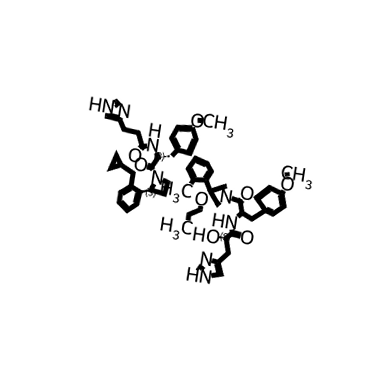 CCCOC1(c2ccccc2C)CN(C(=O)C(Cc2ccc(OC)cc2)NC(=O)[C@@H](O)Cc2c[nH]cn2)C1.COc1ccc(C[C@@H](NC(=O)CCc2c[nH]cn2)C(=O)N2CC[C@H]2c2ccccc2CC2CC2)cc1